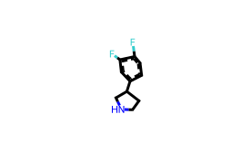 Fc1ccc(C2CCNC2)cc1F